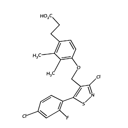 Cc1c(CCC(=O)O)ccc(OCc2c(Cl)nsc2-c2ccc(Cl)cc2F)c1C